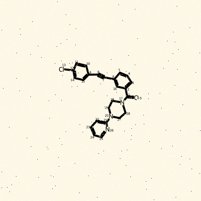 O=C(c1cccc(C#Cc2ccc(Cl)cc2)c1)N1CCN(c2ccccn2)CC1